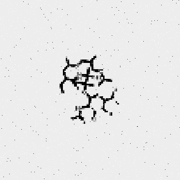 CCC(CC(C)OCC(C)COC(C)C)C(=O)NC(C)(N)C(C)(C)OC(OC(CO)[C@@H](C)O)[C@H](CO)NC(C)=O